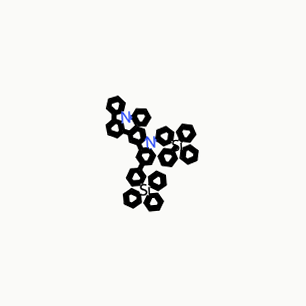 c1ccc(-n2c3ccccc3c3cccc(-c4ccc5c(c4)c4cc(-c6cccc([Si](c7ccccc7)(c7ccccc7)c7ccccc7)c6)ccc4n5-c4cccc([Si](c5ccccc5)(c5ccccc5)c5ccccc5)c4)c32)cc1